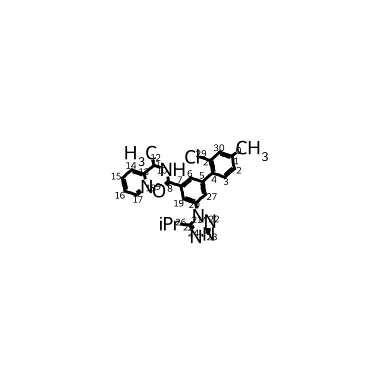 Cc1ccc(-c2cc(C(=O)NC(C)c3ccccn3)cc(-n3nnnc3C(C)C)c2)c(Cl)c1